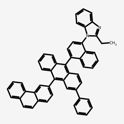 CCc1nc2ccccc2n1-c1ccc(-c2c3ccccc3c(-c3ccc4ccc5ccccc5c4c3)c3cc(-c4ccccc4)ccc23)c2ccccc12